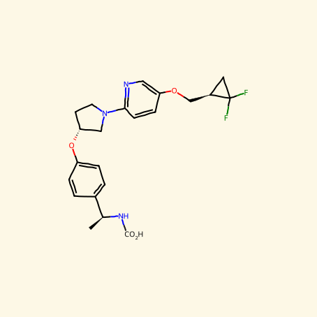 C[C@H](NC(=O)O)c1ccc(O[C@@H]2CCN(c3ccc(OC[C@H]4CC4(F)F)cn3)C2)cc1